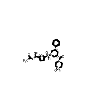 NC(OC(=O)C(F)(F)F)c1ccc(S(=O)(=O)N2C[C@@H](C(=O)N3CCS(=O)(=O)CC3)C[C@@H](c3ccccc3)C2)s1